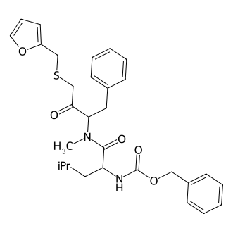 CC(C)CC(NC(=O)OCc1ccccc1)C(=O)N(C)C(Cc1ccccc1)C(=O)CSCc1ccco1